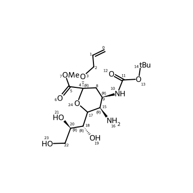 C=CCO[C@]1(C(=O)OC)C[C@@H](NC(=O)OC(C)(C)C)[C@@H](N)C([C@H](O)[C@H](O)CO)O1